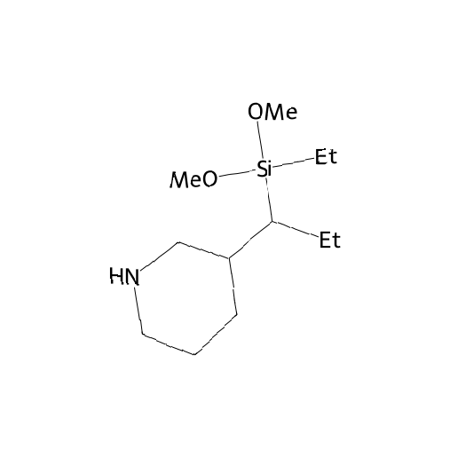 CCC(C1CCCNC1)[Si](CC)(OC)OC